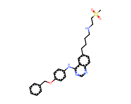 CS(=O)(=O)CCNCCCCc1ccc2ncnc(Nc3ccc(OCc4ccccc4)cc3)c2c1